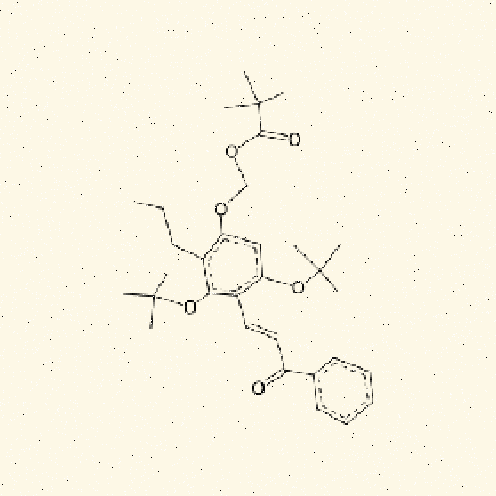 CCCc1c(OCOC(=O)C(C)(C)C)cc(OC(C)(C)C)c(/C=C/C(=O)c2ccccc2)c1OC(C)(C)C